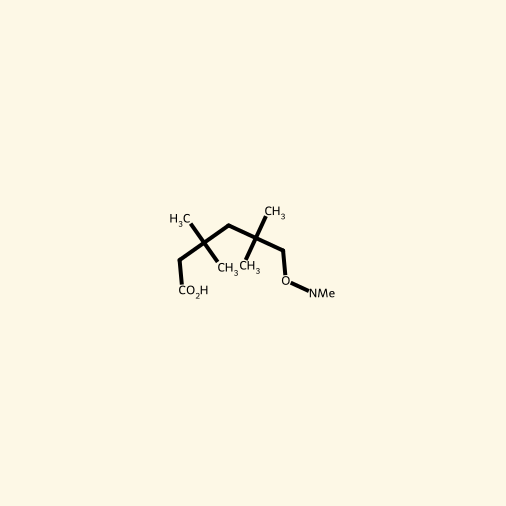 CNOCC(C)(C)CC(C)(C)CC(=O)O